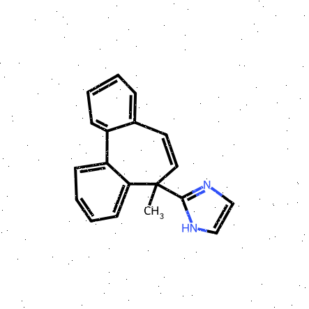 CC1(c2ncc[nH]2)C=Cc2ccccc2-c2ccccc21